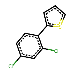 Clc1ccc(-c2cccs2)c(Cl)c1